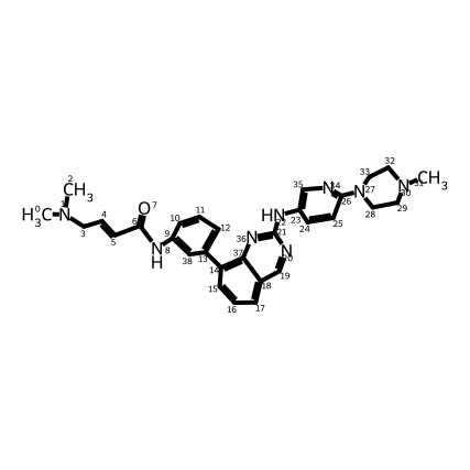 CN(C)CC=CC(=O)Nc1cccc(-c2cccc3cnc(Nc4ccc(N5CCN(C)CC5)nc4)nc23)c1